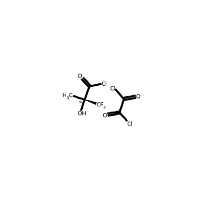 C[C@@](O)(C(=O)Cl)C(F)(F)F.O=C(Cl)C(=O)Cl